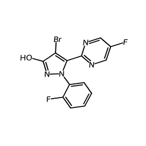 Oc1nn(-c2ccccc2F)c(-c2ncc(F)cn2)c1Br